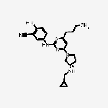 CCCCc1cc(N2CC[C@H](NCC3CC3)C2)nc(Nc2ccc(C)c(C#N)c2)n1